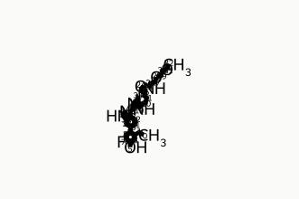 CCc1cc(O)c(F)cc1-c1ccc2c(-c3nc4c([nH]3)CCN(C(=O)NCCOCCOC)C4)n[nH]c2c1